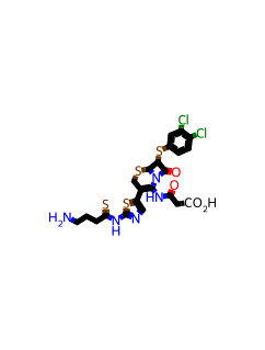 NCCCC(=S)Nc1ncc(C2=C(NC(=O)CC(=O)O)N3C(=O)C(Sc4ccc(Cl)c(Cl)c4)C3SC2)s1